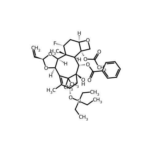 C=C[C@@H]1O[C@@H]2C3=C(C)[C@@H](O[Si](CC)(CC)CC)C[C@@](O)([C@@H](OC(=O)c4ccccc4)[C@@H]4[C@]5(OC(C)=O)CO[C@@H]5C[C@@H](F)[C@@]4(C)[C@@H]2O1)C3(C)C